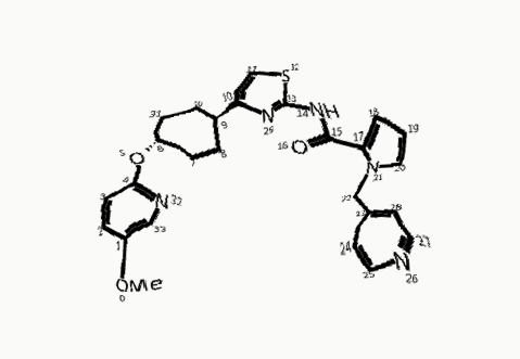 COc1ccc(O[C@H]2CC[C@H](c3csc(NC(=O)c4cccn4Cc4ccncc4)n3)CC2)nc1